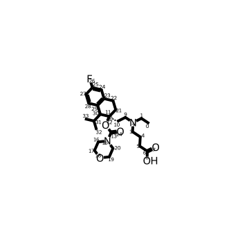 CCN(CCCC(=O)O)CC[C@@]1(OC(=O)N2CCOCC2)CCc2cc(F)ccc2C1C(C)C